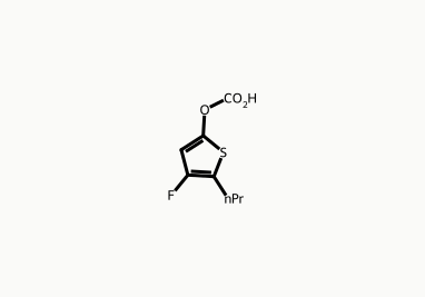 CCCc1sc(OC(=O)O)cc1F